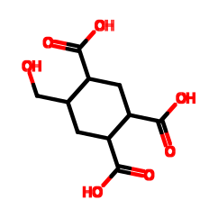 O=C(O)C1CC(C(=O)O)C(C(=O)O)CC1CO